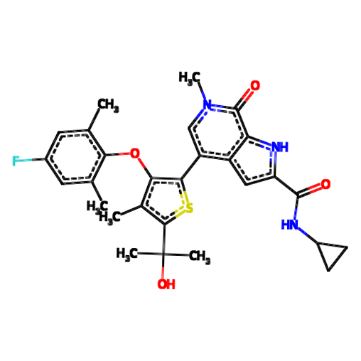 Cc1cc(F)cc(C)c1Oc1c(-c2cn(C)c(=O)c3[nH]c(C(=O)NC4CC4)cc23)sc(C(C)(C)O)c1C